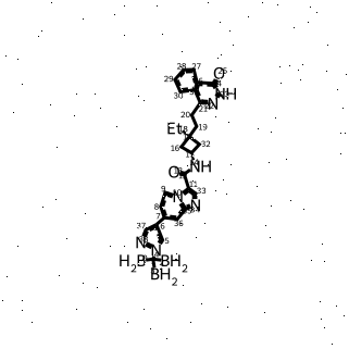 BC(B)(B)n1cc(-c2ccn3c(C(=O)N[C@H]4C[C@](CC)(CCc5n[nH]c(=O)c6ccccc56)C4)cnc3c2)cn1